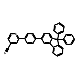 N#Cc1ccnc(-c2ccc(-c3ccc4c(c3)-c3ccccc3C4(c3ccccc3)c3ccccc3)cc2)c1